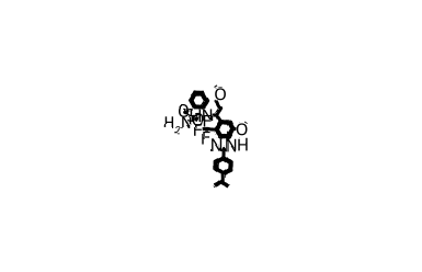 COCCC(Nc1ccccc1S(N)(=O)=O)c1cc(OC)c2[nH]c(-c3ccc(C(C)C)cc3)nc2c1C(F)(F)F